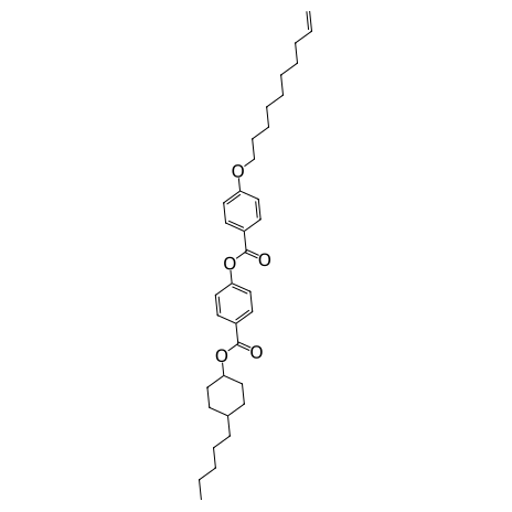 C=CCCCCCCCCOc1ccc(C(=O)Oc2ccc(C(=O)OC3CCC(CCCCC)CC3)cc2)cc1